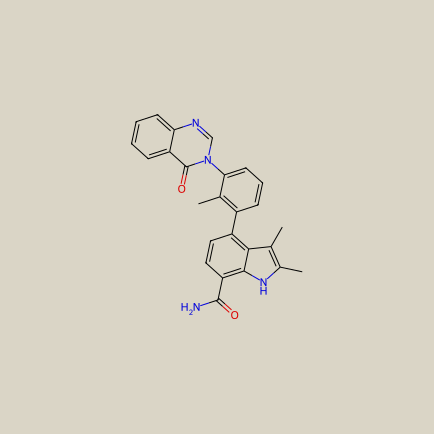 Cc1[nH]c2c(C(N)=O)ccc(-c3cccc(-n4cnc5ccccc5c4=O)c3C)c2c1C